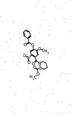 COC(=O)[C@@H]1CCCCN1C(=O)c1cc(OC)c(OC(=O)c2ccccc2)cc1[N+](=O)[O-]